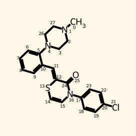 CN1CCN(c2ccccc2C=C2SC=CN(c3ccc(Cl)cc3)C2=O)CC1